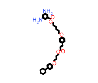 Nc1cc(N)cc(C(=O)OCCCCCCOc2ccc(C=CC(=O)OCCCCOc3ccc(C4CCCCC4)cc3)cc2)c1